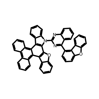 c1ccc2c(-c3cccc4oc5ccccc5c34)nc(-n3c4ccccc4c4c5c6ccccc6c6ccccc6c5c5c6ccccc6oc5c43)nc2c1